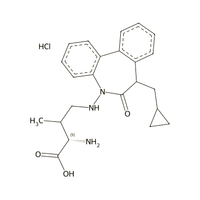 CC(CNN1C(=O)C(CC2CC2)c2ccccc2-c2ccccc21)[C@H](N)C(=O)O.Cl